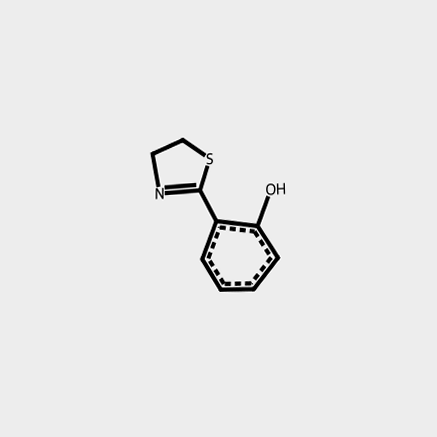 Oc1ccccc1C1=NCCS1